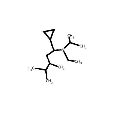 CCN(C(C)C)C(CC(C)C(C)C)C1CC1